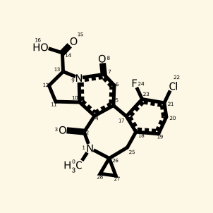 CN1C(=O)c2c(cc(=O)n3c2CCC3C(=O)O)-c2c(ccc(Cl)c2F)CC12CC2